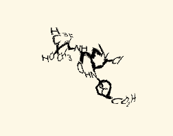 CC(C)(O)[C@H](F)CNC(=O)c1cnc(Cl)cc1NC12CCC(C(=O)O)(CC1)CC2